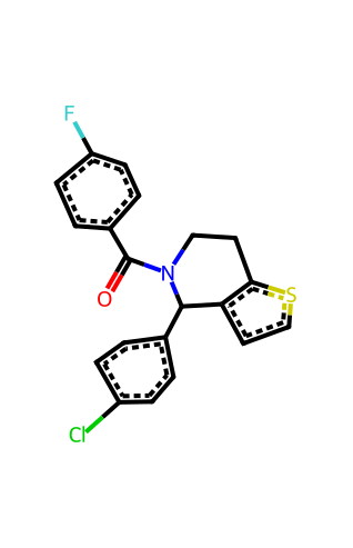 O=C(c1ccc(F)cc1)N1CCc2sccc2C1c1ccc(Cl)cc1